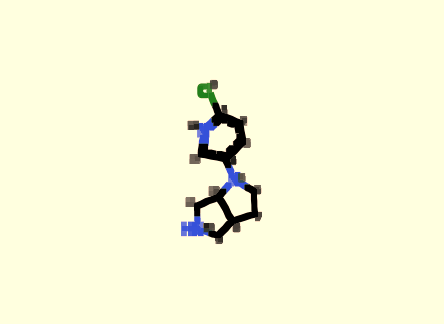 Clc1ccc(N2CCC3CNCC32)cn1